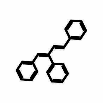 C(=Cc1ccccc1)C(=Cc1ccccc1)c1ccccc1